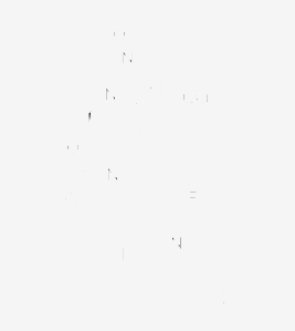 CC(C)(C)OC(=O)N(C[C@H]1CN(c2cc(F)c(N3CC4(COC4)C3)c(F)c2)C(=O)O1)c1ccon1